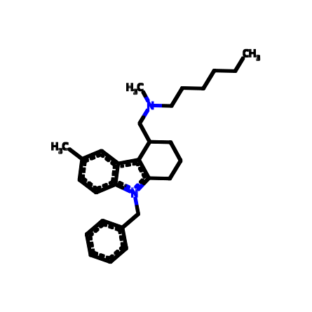 CCCCCCN(C)CC1CCCc2c1c1cc(C)ccc1n2Cc1ccccc1